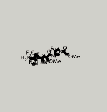 COCCC(=O)N1C[C@H](F)[C@H](NC(=O)c2cc(-c3cc(C(F)(F)F)c4c(N)ncnn34)cnc2OC)C1